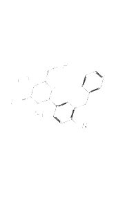 N#Cc1ccc([C@@H]2O[C@H](CO)[C@@H](O)[C@H](O)[C@H]2O)cc1Cc1ccccc1